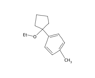 CCOC1(c2ccc(C)cc2)CCCC1